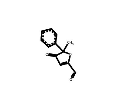 CC1(c2ccccc2)OC(C=O)=CC1=O